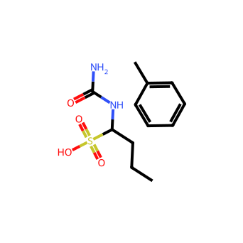 CCCC(NC(N)=O)S(=O)(=O)O.Cc1ccccc1